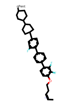 C/C=C\CCOc1ccc(-c2ccc(-c3ccc(C4CCC(C5CCC(CCCCC)CC5)CC4)cc3F)cc2)c(F)c1F